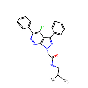 CC(C)CNC(=O)Cn1nc(-c2ccccc2)c2c(Cl)c(-c3ccccc3)nnc21